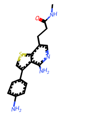 CNC(=O)CCc1cnc(N)c2c(-c3ccc(N)cc3)csc12